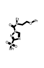 CCCS(=O)(=O)c1ncn(C(=O)N(CC)CCOC(C)C)n1